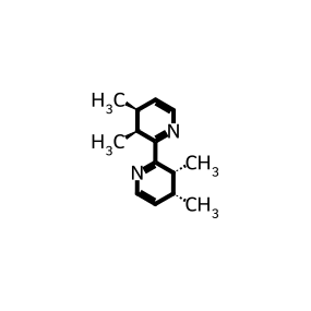 C[C@@H]1C=CN=C(C2=NC=C[C@H](C)[C@@H]2C)[C@@H]1C